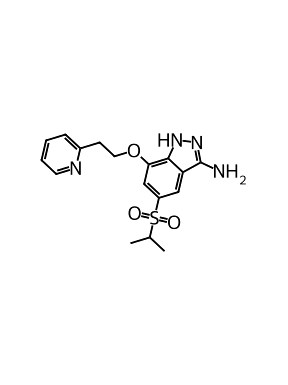 CC(C)S(=O)(=O)c1cc(OCCc2ccccn2)c2[nH]nc(N)c2c1